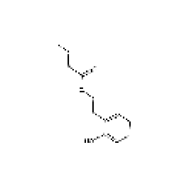 C/C=C/C(=O)OCCc1ccccc1O